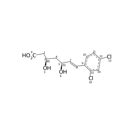 O=C(O)C[C@H](O)C[C@H](O)C=Cc1ccc(Cl)cc1Cl